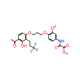 COC(=O)C(=O)Nc1ccc(OCCCOc2ccc(C(C)=O)c(O)c2CCC(F)(F)F)c(OC)c1